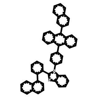 c1ccc(-c2nc3ccccc3n2-c2ccc(-c3c4ccccc4c(-c4ccc5ccccc5c4)c4ccccc34)cc2)c(-c2cccc3ccccc23)c1